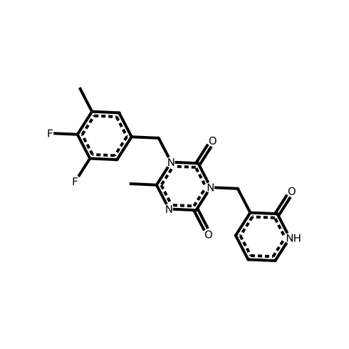 Cc1cc(Cn2c(C)nc(=O)n(Cc3ccc[nH]c3=O)c2=O)cc(F)c1F